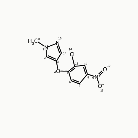 Cn1cc(Oc2ccc([N+](=O)[O-])cc2Cl)cn1